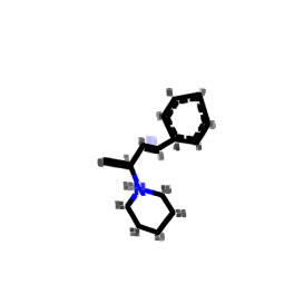 C=C(/C=C/c1ccccc1)N1CCCCC1